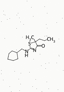 CCCC1(C)SC(NCC2CCCCC2)=NC1=O